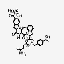 CC(S)c1ccc(CO[C@H](C)[C@H](CCC(N)=O)NC(=O)[C@@H]2Cc3cccc4c3N2C(=O)[C@@H](NC(=O)c2cc3cc(C(=O)P(=O)(O)O)ccc3[nH]2)CC4)cc1